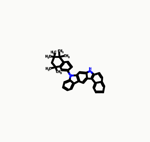 CC1(C)CC(C)(C)C(C)(C)c2ccc(-n3c4ccccc4c4cc5c(cc43)[nH]c3ccc4ccccc4c35)cc21